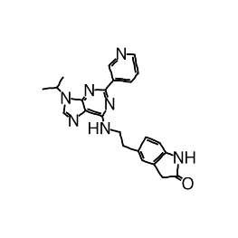 CC(C)n1cnc2c(NCCc3ccc4c(c3)CC(=O)N4)nc(-c3cccnc3)nc21